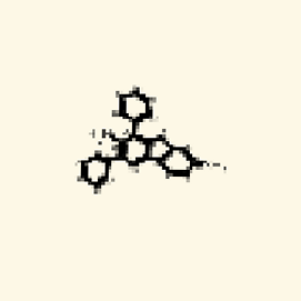 Nc1ccc2c(c1)Cc1c-2cc(-c2ccccc2)c(N)c1-c1ccccc1